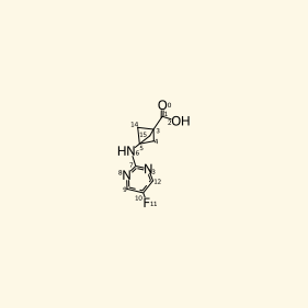 O=C(O)C12CC(Nc3ncc(F)cn3)(C1)C2